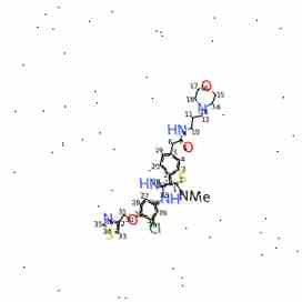 CNc1sc2cc(CC(=O)NCCCN3CCOCC3)ccc2c1C(=N)Nc1ccc(OCc2cscn2)c(Cl)c1